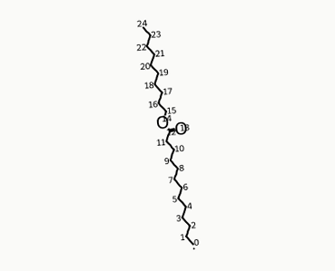 [CH2]CCCCCCCCCCCC(=O)OCCCCCCCCCC